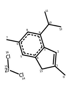 CC1=Cc2c(cc(C)cc2C(C)C)[CH]1.[Cl][Zr][Cl]